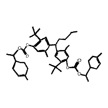 CCCCC(c1cc(C(C)(C)C)c(OC(=O)OC(C)C2CC=C(C)CC2)cc1C)c1cc(C(C)(C)C)c(OC(=O)OC(C)C2CC=C(C)CC2)cc1C